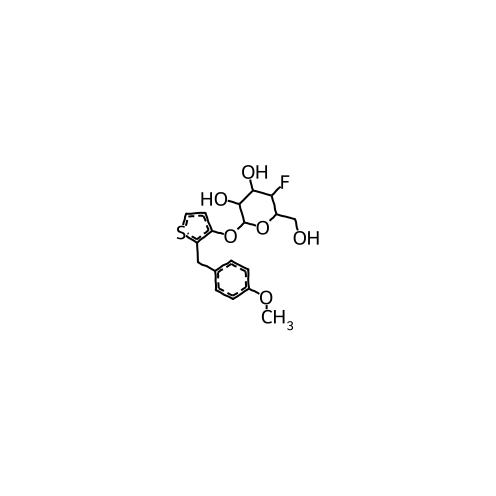 COc1ccc(Cc2sccc2OC2OC(CO)C(F)C(O)C2O)cc1